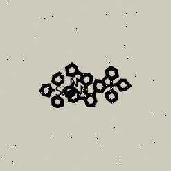 c1ccc(C2(c3ccccc3)c3ccccc3-c3ccc(-c4cccc5c6ccccc6n(-c6cccc7c8ccccc8n(-c8cccc([Si](c9ccccc9)(c9ccccc9)c9ccccc9)c8)c67)c45)cc32)cc1